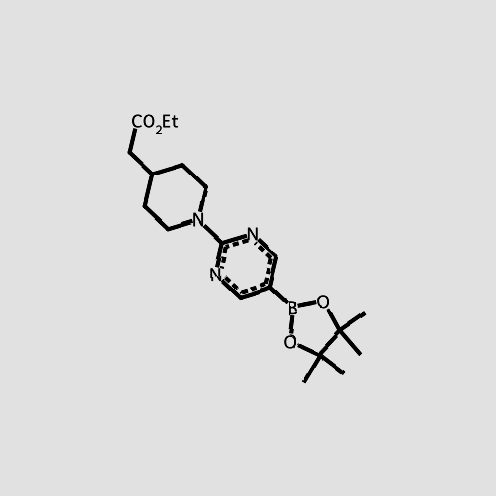 CCOC(=O)CC1CCN(c2ncc(B3OC(C)(C)C(C)(C)O3)cn2)CC1